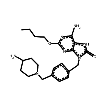 CCCCOc1nc(N)c2[nH]c(=O)n(Cc3ccc(CN4CCC(N)CC4)cc3)c2n1